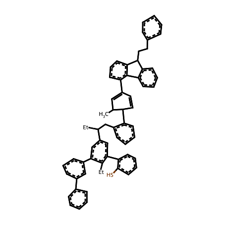 CCc1c(-c2cccc(-c3ccccc3)c2)cc(C(CC)Cc2ccccc2C2C=CC(c3cccc4c3-c3ccccc3C4CCc3ccccc3)=CC2C)cc1-c1ccccc1S